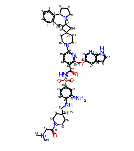 CC(C)c1ccccc1C1CCCN1C1CC2(CCN(c3ccc(C(=O)NS(=O)(=O)c4ccc(NCC5(F)CCN(C(=O)CN(C)C)CC5)c(N)c4)c(Oc4cnc5[nH]ccc5c4)n3)CC2)C1